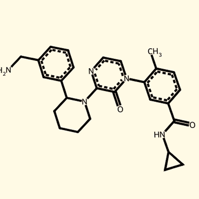 Cc1ccc(C(=O)NC2CC2)cc1-n1ccnc(N2CCCCC2c2cccc(CN)c2)c1=O